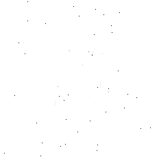 Cc1ccccc1O[SH]=O.[NaH]